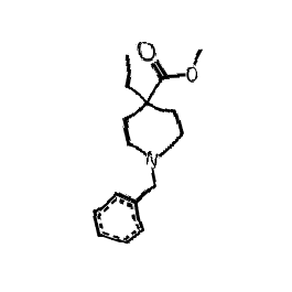 CCC1(C(=O)OC)CCN(Cc2ccccc2)CC1